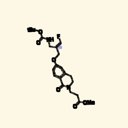 COC(=O)CCN1CCc2cc(OC/C(=C/F)CNC(=O)OC(C)(C)C)ccc2C1=O